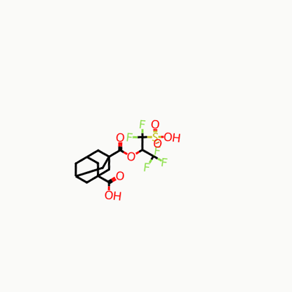 O=C(O)C12CC3CC(C1)CC(C(=O)OC(C(F)(F)F)C(F)(F)S(=O)(=O)O)(C3)C2